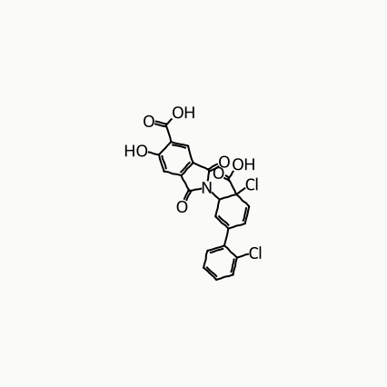 O=C(O)c1cc2c(cc1O)C(=O)N(C1C=C(c3ccccc3Cl)C=CC1(Cl)C(=O)O)C2=O